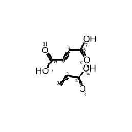 C=CC(=O)O.O=C(O)C=CC(=O)O